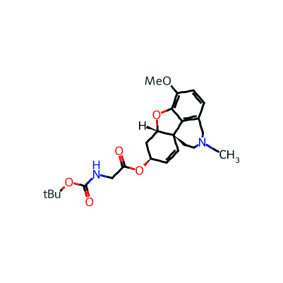 COc1ccc2c3c1O[C@H]1C[C@H](OC(=O)CNC(=O)OC(C)(C)C)C=C[C@@]31CCN(C)C2